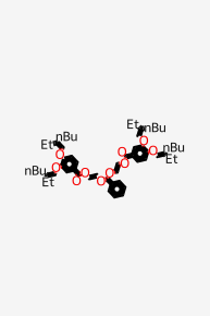 CCCCC(CC)COc1ccc(C(=O)OCCOC(OCCOC(=O)c2ccc(OCC(CC)CCCC)c(OCC(CC)CCCC)c2)c2ccccc2)cc1OCC(CC)CCCC